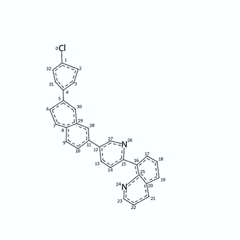 Clc1ccc(-c2ccc3ccc(-c4ccc(-c5cccc6cccnc56)nc4)cc3c2)cc1